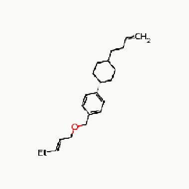 C=CCC[C@H]1CC[C@H](c2ccc(COC/C=C/CC)cc2)CC1